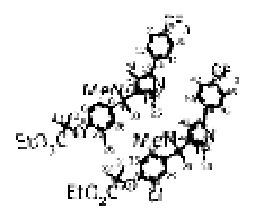 CCOC(=O)C(C)(C)Oc1ccc(C(C)(NC)c2c(C)c(-c3ccc(C(F)(F)F)cc3)nn2C)cc1C.CCOC(=O)C(C)(C)Oc1ccc(C(C)(NC)c2cc(-c3ccc(C(F)(F)F)cc3)nn2C)cc1Cl